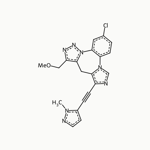 COCc1nnn2c1Cc1c(C#Cc3ccnn3C)ncn1-c1ccc(Cl)cc1-2